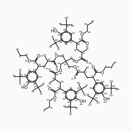 CCCOC(=O)C(CC(C)C(=S)OCC(COC(=S)C(C)CC(C(=O)OCCC)c1cc(C(C)(C)C)c(O)c(C(C)(C)C)c1)(COC(=S)C(C)CC(C(=O)OCCC)c1cc(C(C)(C)C)c(O)c(C(C)(C)C)c1)COC(=S)C(C)CC(C(=O)OCCC)c1cc(C(C)(C)C)c(O)c(C(C)(C)C)c1)c1cc(C(C)(C)C)c(O)c(C(C)(C)C)c1